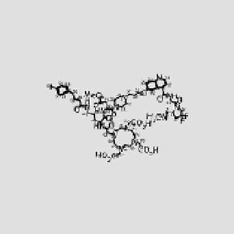 C/N=C/[C@H]1CC(F)(F)CN1C(=O)CNC(=O)c1ccnc2ccc(OCCCN3CCN(C(=O)[C@H](CC(=O)OC)NC(=O)[C@H](CCCNC(=O)CCCc4ccc(I)cc4)NC(=O)CN4CCN(CC(=O)O)CCN(CC(=O)O)CCN(CC(=O)O)CC4)CC3)cc12